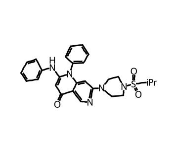 CC(C)S(=O)(=O)N1CCN(c2cc3c(cn2)c(=O)cc(Nc2ccccc2)n3-c2ccccc2)CC1